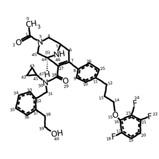 CC(=O)N1CC2CC(c3ccc(CCCOc4c(F)ccc(F)c4F)cc3)=C(C(=O)N(Cc3ccccc3CCO)C3CC3)[C@@H](C1)N2